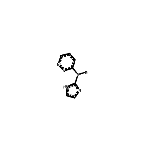 BrN(c1cccnn1)c1ncc[nH]1